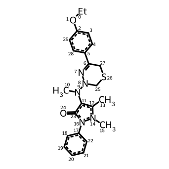 CCOc1ccc(C2=NN(N(C)c3c(C)n(C)n(-c4ccccc4)c3=O)CSC2)cc1